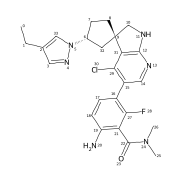 CCc1cnn([C@@H]2CC[C@]3(CNc4ncc(-c5ccc(N)c(C(=O)N(C)C)c5F)c(Cl)c43)C2)c1